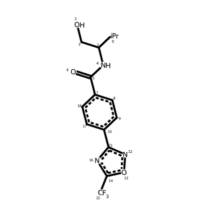 CC(C)C(CO)NC(=O)c1ccc(-c2noc(C(F)(F)F)n2)cc1